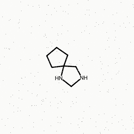 C1CCC2(C1)CNCN2